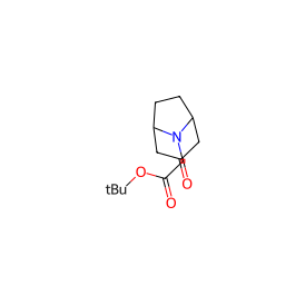 CC(C)(C)OC(=O)CN1C2CCC1CC(=O)C2